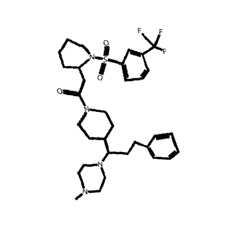 CN1CCN(C(CCc2ccccc2)C2CCN(C(=O)CC3CCCCN3S(=O)(=O)c3cccc(C(F)(F)F)c3)CC2)CC1